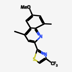 COc1cc(C)c2nc(-c3nc(C(F)(F)F)cs3)cc(C)c2c1